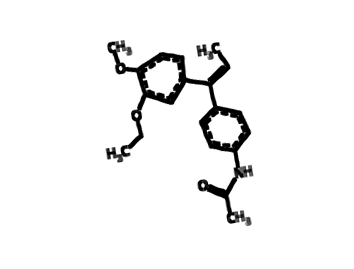 CC=C(c1ccc(NC(C)=O)cc1)c1ccc(OC)c(OCC)c1